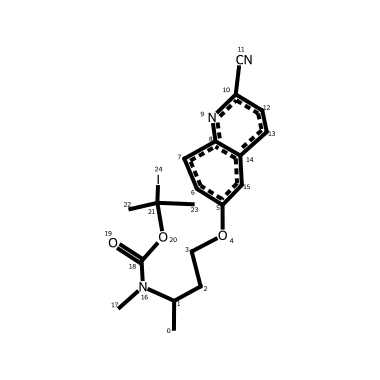 CC(CCOc1ccc2nc(C#N)ccc2c1)N(C)C(=O)OC(C)(C)I